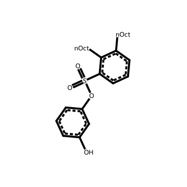 CCCCCCCCc1cccc(S(=O)(=O)Oc2cccc(O)c2)c1CCCCCCCC